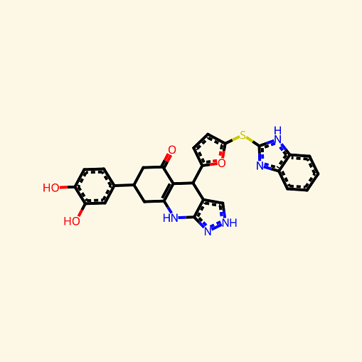 O=C1CC(c2ccc(O)c(O)c2)CC2=C1C(c1ccc(Sc3nc4ccccc4[nH]3)o1)c1c[nH]nc1N2